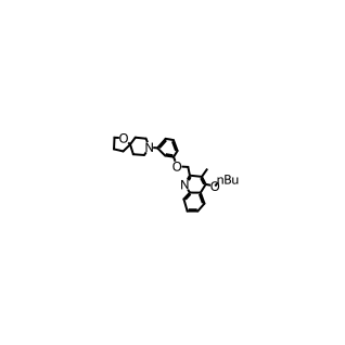 CCCCOc1c(C)c(COc2cccc(N3CCC4(CCCO4)CC3)c2)nc2ccccc12